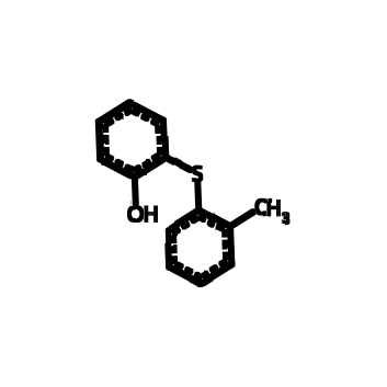 Cc1ccccc1Sc1ccccc1O